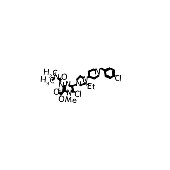 CC[C@H]1CN(c2nc(NC(=O)N(C)C)c(C(=O)OC)nc2Cl)CCN1C1CCN(Cc2ccc(Cl)cc2)CC1